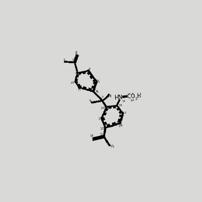 C=C(C)c1ccc(C(C)(C)c2cc(C(=C)C)ccc2NC(=O)O)cc1